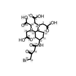 O=C(O)CN(CC(=O)O)C1CCC(NC(=O)CC(=O)CBr)CC1N(CC(=O)O)CC(=O)O